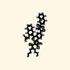 CCCCN(CCCC)C(=O)c1nn(-c2ccc(C(=O)NS(=O)(=O)c3ccc4ccccc4c3)cc2C(=O)N2Cc3ccccc3CC2CN(C)C)c(C)c1Cl